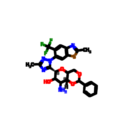 Cc1nc([C@@H]2OC3COC(c4ccccc4)O[C@@H]3C(N)C2O)n(-c2cc3sc(C)nc3cc2C(F)(F)F)n1